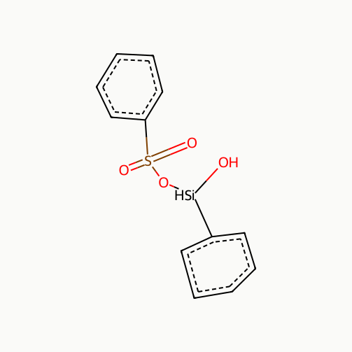 O=S(=O)(O[SiH](O)c1ccccc1)c1ccccc1